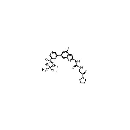 CC(C)(C)NS(=O)(=O)c1cncc(-c2cc(F)c3nc(NC(=O)NCC(=O)N4CCCC4)nn3c2)c1